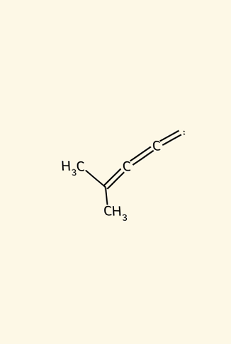 [C]=C=C=C(C)C